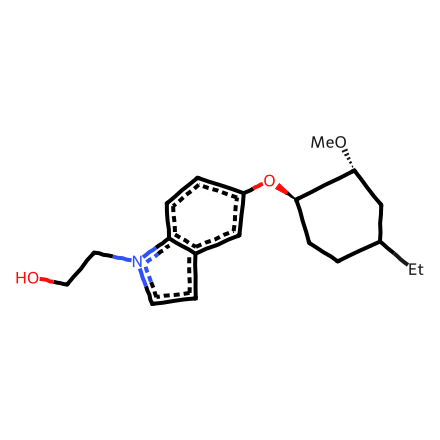 CCC1CC[C@@H](Oc2ccc3c(ccn3CCO)c2)[C@H](OC)C1